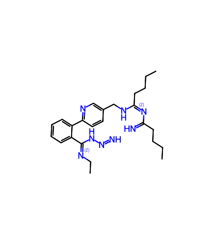 CCCCC(=N)/N=C(/CCCC)NCc1ccc(-c2ccccc2/C(=N/CC)NN=N)nc1